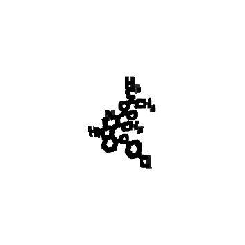 Cc1c(C(=O)OC(C)C)ncc2[nH]c3cccc(Oc4ccc(Cl)cc4)c3c12